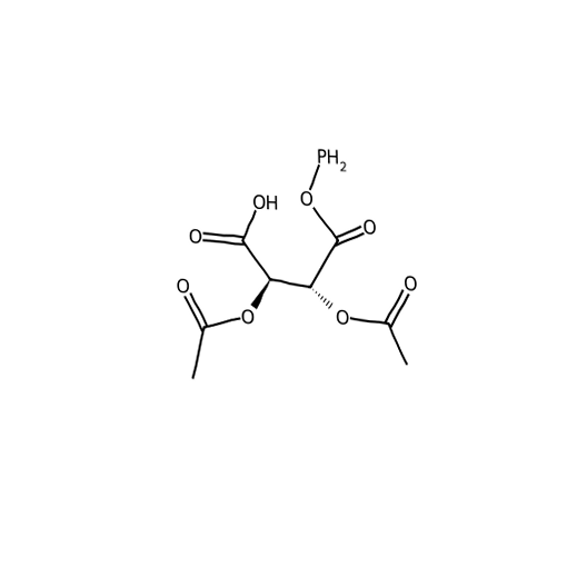 CC(=O)O[C@@H](C(=O)O)[C@@H](OC(C)=O)C(=O)OP